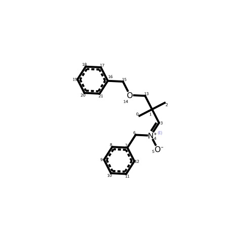 CC(C)(/C=[N+](/[O-])Cc1ccccc1)COCc1ccccc1